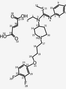 CCN(C(=Nc1ccccc1)SC)C1CCN(CCCCOc2ccc(F)c(F)c2)CC1.O=C(O)/C=C/C(=O)O